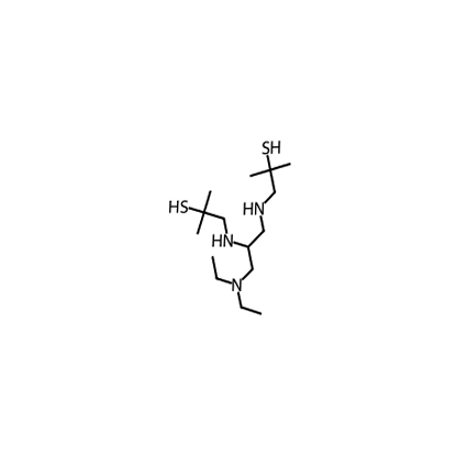 CCN(CC)CC(CNCC(C)(C)S)NCC(C)(C)S